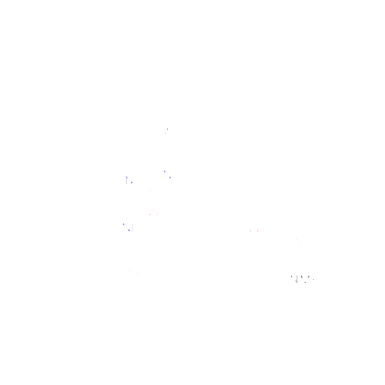 CCCS(=O)(=O)Nc1ccccc1-n1c(-c2ccccc2)c(C(C)=O)n(Cc2cccc(OCC(=O)NC)c2)c1=O